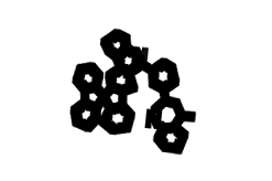 C=C1C=C(c2cccc(-c3nc4ccccc4c4cc5c(cc34)-c3ccccc3C53c4ccccc4-c4ccccc43)c2)C=Nc2ccccc21